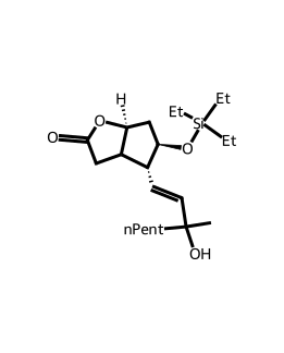 CCCCCC(C)(O)/C=C/[C@@H]1C2CC(=O)O[C@H]2C[C@H]1O[Si](CC)(CC)CC